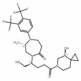 C[C@H]1CN([C@H](CO)CCC(=O)N2CCC3(CC3)[C@H](O)C2)C(=O)CCN1c1ccc(C(F)(F)F)c(C(F)(F)F)c1